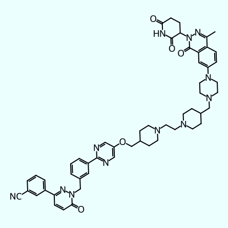 Cc1nn(C2CCC(=O)NC2=O)c(=O)c2cc(N3CCN(CC4CCN(CCN5CCC(COc6cnc(-c7cccc(Cn8nc(-c9cccc(C#N)c9)ccc8=O)c7)nc6)CC5)CC4)CC3)ccc12